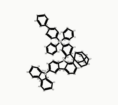 c1ccc(-c2ccc([Si](c3ccccc3)(c3ccccc3)c3ccc4c(c3)-n3c5ccc(-n6c7ccccc7c7ccccc76)cc5c5cccc(c53)C43C4CC5CC(C4)CC3C5)cc2)cc1